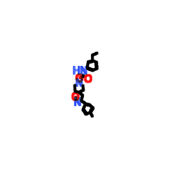 CCc1cccc(NC(=O)ON2CCC3(CC2)CC(c2ccc(C)cc2)=NO3)c1